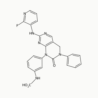 O=C(O)Nc1cccc(N2C(=O)N(c3ccccc3)Cc3cnc(Nc4cccnc4F)nc32)c1